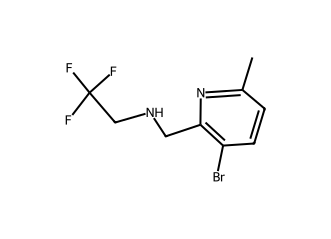 Cc1ccc(Br)c(CNCC(F)(F)F)n1